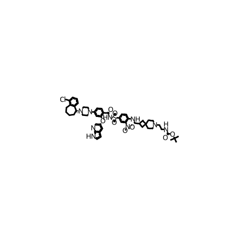 CC(C)(C)OC(=O)NCCN1CCC2(CC1)CC(CNc1ccc(S(=O)(=O)NC(=O)c3ccc(N4CCN([C@@H]5CCCCc6c(Cl)cccc65)CC4)cc3Oc3cnc4[nH]ccc4c3)cc1[N+](=O)[O-])C2